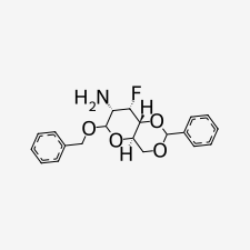 N[C@H]1C(OCc2ccccc2)O[C@@H]2COC(c3ccccc3)O[C@H]2[C@H]1F